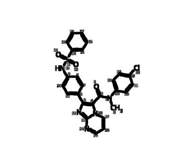 CN(C(=O)c1c(-c2ccc(NS(=O)(=O)c3ccccc3)cc2)nc2ncccn12)c1ccc(Cl)cc1